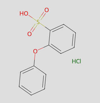 Cl.O=S(=O)(O)c1ccccc1Oc1ccccc1